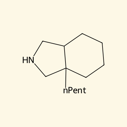 CCCCCC12CCCCC1CNC2